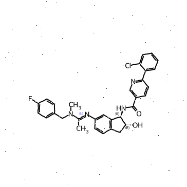 C/C(=N\c1ccc2c(c1)[C@@H](NC(=O)c1ccc(-c3ccccc3Cl)nc1)[C@H](O)C2)N(C)Cc1ccc(F)cc1